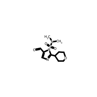 CN(C)S(=O)(=O)n1c(C=O)cnc1C1CCOCC1